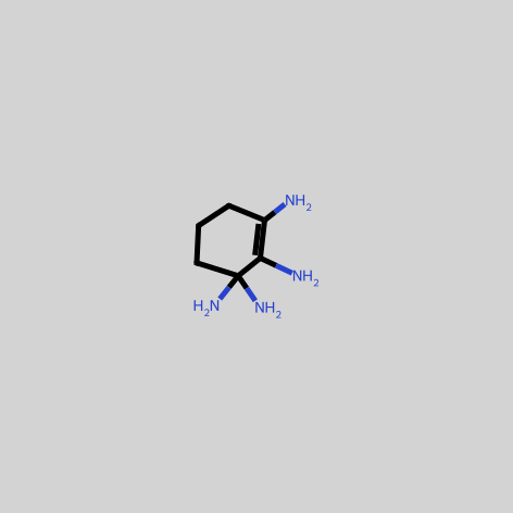 NC1=C(N)C(N)(N)CCC1